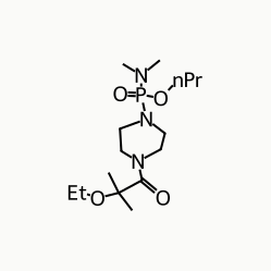 CCCOP(=O)(N(C)C)N1CCN(C(=O)C(C)(C)OCC)CC1